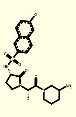 C[C@@H](C(=O)N1CCCC(N)C1)N1CC[C@H](NS(=O)(=O)c2ccc3cc(Cl)ccc3c2)C1=O